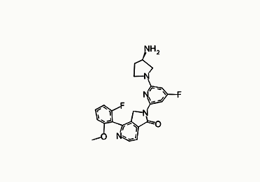 COc1cccc(F)c1-c1nccc2c1CN(c1cc(F)cc(N3CC[C@@H](N)C3)n1)C2=O